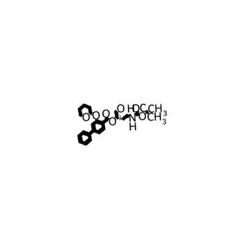 CC(C)(C)OC(=O)NCC[C@@H](C=O)OC(=O)c1ccc(-c2ccccc2)cc1OC1CCCCO1